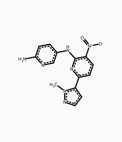 Cn1nccc1-c1ccc([N+](=O)[O-])c(Nc2ccc(N)nc2)n1